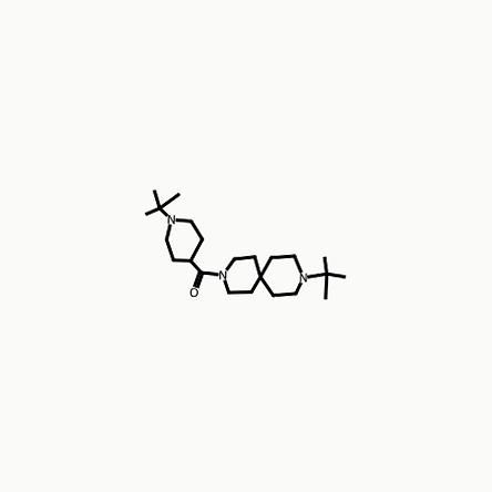 CC(C)(C)N1CCC(C(=O)N2CCC3(CC2)CCN(C(C)(C)C)CC3)CC1